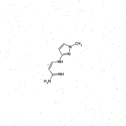 Cn1ccc(N/C=C\C(=N)N)n1